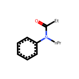 CCCN(C(=O)CC)c1ccccc1